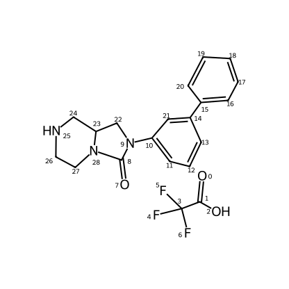 O=C(O)C(F)(F)F.O=C1N(c2cccc(-c3ccccc3)c2)CC2CNCCN12